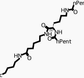 CCCCCC(=O)NCCCC[C@H](NC(=O)CCCCC)C(=O)NCCCCCC(=O)NCCCCCC(C)=O